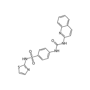 O=C(Nc1ccc(S(=O)(=O)Nc2nccs2)cc1)Nc1ccc2ccccc2n1